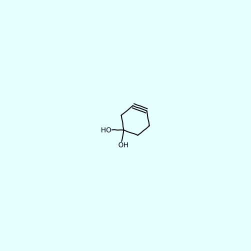 OC1(O)CC#CCC1